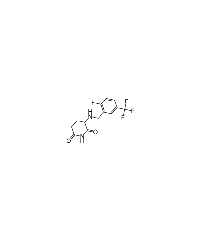 O=C1CCC(NCc2cc(C(F)(F)F)ccc2F)C(=O)N1